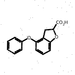 O=C(O)C1Cc2c(Oc3ccccc3)cccc2O1